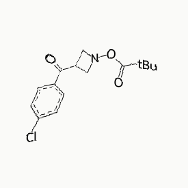 CC(C)(C)C(=O)ON1CC(C(=O)c2ccc(Cl)cc2)C1